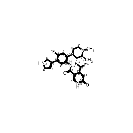 C[C@H]1CN(c2cc(F)c(C3=CCNC3)cc2NC(=O)c2c[nH]c(=O)cc2C(F)F)CCN1C